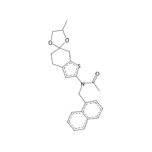 CC(=O)N(Cc1cccc2ccccc12)c1cc2c(s1)CC1(CC2)OCC(C)O1